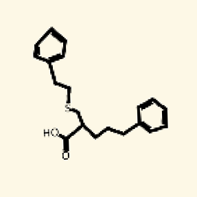 O=C(O)C(CCCc1ccccc1)CSCCc1ccccc1